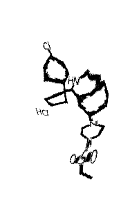 CCS(=O)(=O)N1CCN(c2ccc3c(c2)C(C2(c4ccc(Cl)cc4)CCC2)NCC3)CC1.Cl